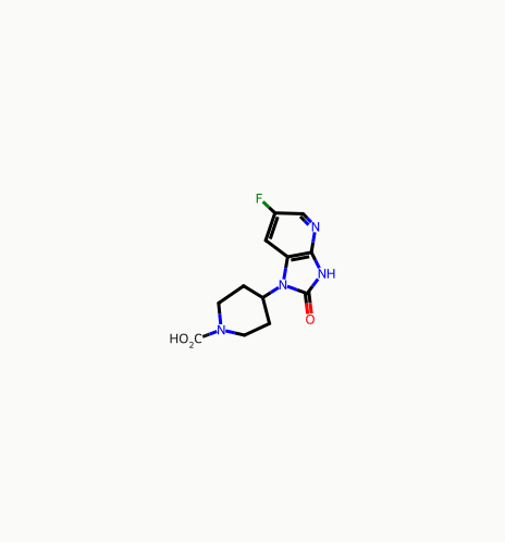 O=C(O)N1CCC(n2c(=O)[nH]c3ncc(F)cc32)CC1